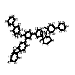 CC1(NC2=CC=CCC2(C)c2cccc(-c3ccc(Nc4ccc(-c5ccccc5)cc4)c(-c4ccc5c(c4)oc4ccccc45)c3)c2)C=CC(c2ccccc2)=CC1